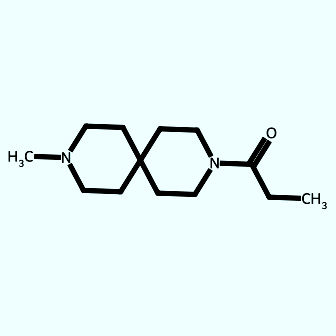 CCC(=O)N1CCC2(CCN(C)CC2)CC1